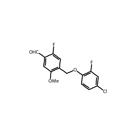 COc1cc(C=O)c(F)cc1COc1ccc(Cl)cc1F